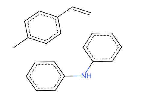 C=Cc1ccc(C)cc1.c1ccc(Nc2ccccc2)cc1